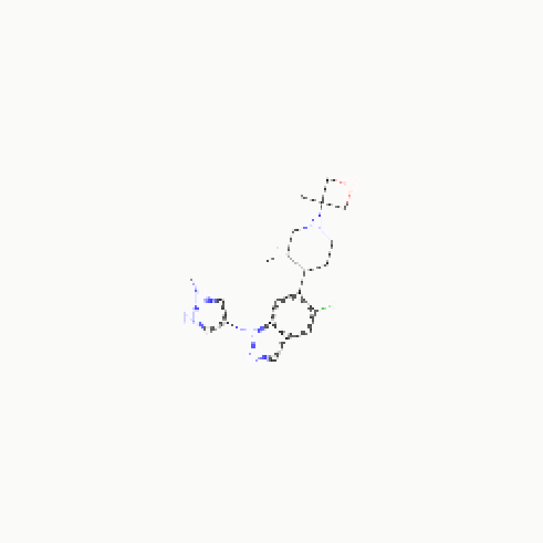 C[C@H]1CN(C2(C)COC2)CCC1c1cc2c(cnn2-c2cnn(C)c2)cc1Cl